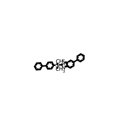 C[Si](C)(c1ccc(-c2ccccc2)cc1)c1nc2ccc(-c3ccccc3)cc2s1